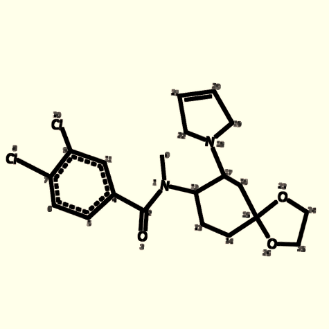 CN(C(=O)c1ccc(Cl)c(Cl)c1)C1CCC2(CC1N1CC=CC1)OCCO2